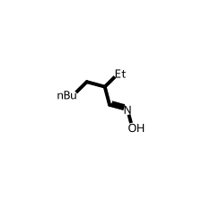 CCCCCC(C=NO)CC